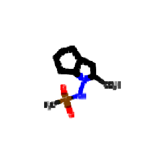 O=C(O)c1cc2ccccc2n1NS(=O)(=O)C(F)(F)F